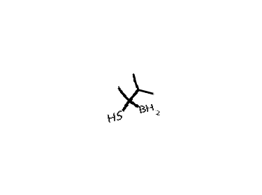 BC(C)(S)C(C)C